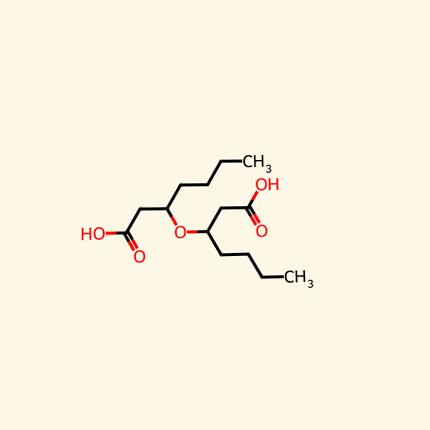 CCCCC(CC(=O)O)OC(CCCC)CC(=O)O